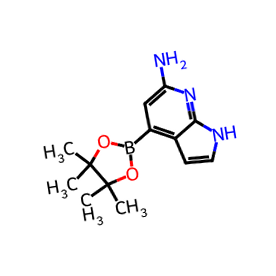 CC1(C)OB(c2cc(N)nc3[nH]ccc23)OC1(C)C